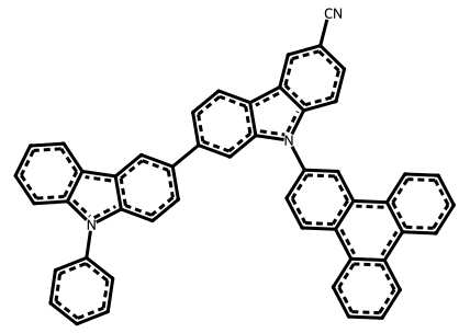 N#Cc1ccc2c(c1)c1ccc(-c3ccc4c(c3)c3ccccc3n4-c3ccccc3)cc1n2-c1ccc2c3ccccc3c3ccccc3c2c1